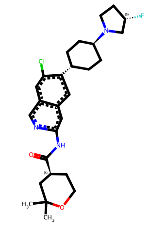 CC1(C)C[C@@H](C(=O)Nc2cc3cc([C@H]4CC[C@H](N5CC[C@H](F)C5)CC4)c(Cl)cc3cn2)CCO1